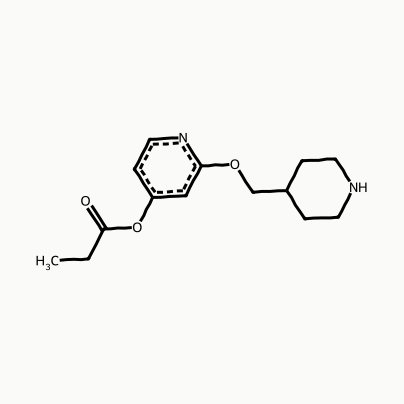 CCC(=O)Oc1ccnc(OCC2CCNCC2)c1